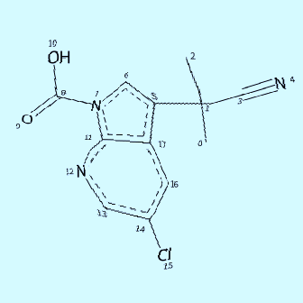 CC(C)(C#N)c1cn(C(=O)O)c2ncc(Cl)cc12